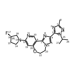 Cc1nc(-c2cn3c(n2)-c2cnc(N4CC[C@@H](F)C4)cc2OCC3)n(C(C)C)n1